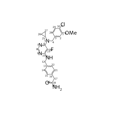 COc1cc(CN(c2ncnc(NCc3ccc(CC(N)=O)cc3)c2F)C2CC2)ccc1Cl